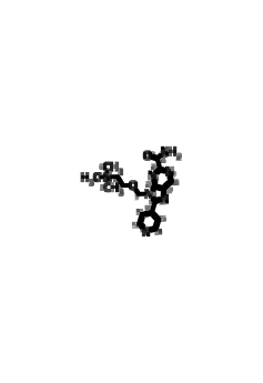 C[Si](C)(C)CCOCn1c(-c2ccncc2)nc2cnc(C(N)=O)nc21